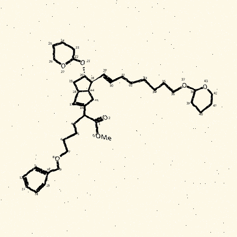 COC(=O)C(CCCCOCc1ccccc1)C1=CC2C[C@H](OC3CCCCO3)[C@@H](C=CCCCCCCOC3CCCCO3)C2C1